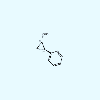 O=[C][C@H]1C[C@@H]1c1ccccc1